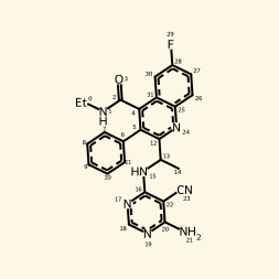 CCNC(=O)c1c(-c2ccccc2)c(C(C)Nc2ncnc(N)c2C#N)nc2ccc(F)cc12